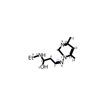 CCNC(O)C/C=N\N1CN=C(C)C=C1C